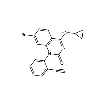 C#Cc1ccccc1-n1c(=O)nc(NC2CC2)c2ccc(Br)cc21